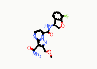 COCc1nn2c(C(=O)NC3COc4c(F)cccc43)ccnc2c1C(N)=O